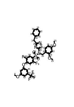 COc1cc(Oc2cc(F)c(S(=O)(=O)N(Cc3ccc(OC)cc3OC)c3nc(Cc4ccccc4)ns3)cc2F)cc(C(F)(F)F)c1